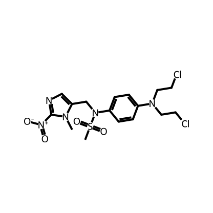 Cn1c(CN(c2ccc(N(CCCl)CCCl)cc2)S(C)(=O)=O)cnc1[N+](=O)[O-]